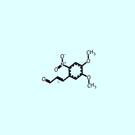 COc1cc(/C=C/C=O)c([N+](=O)[O-])cc1OC